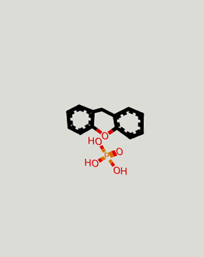 O=P(O)(O)O.c1ccc2c(c1)Cc1ccccc1O2